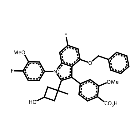 COc1cc(-n2c(C3(C)CC(O)C3)c(-c3ccc(C(=O)O)c(OC)c3)c3c(OCc4ccccc4)cc(F)cc32)ccc1F